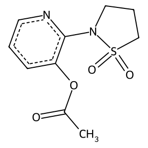 CC(=O)Oc1cccnc1N1CCCS1(=O)=O